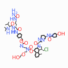 Cc1cccc2c(OC(=O)N(CCOCCO)CCN(C)C(=O)OCc3ccc(NC(=O)[C@H](CCCNC(N)=O)NC(=O)[C@@H](NC(C)C)C(C)C)cc3)cc3c(c12)[C@H](CCl)CN3C(=O)c1cn2cc(NC(=O)c3ccc(O)cc3)ccc2n1